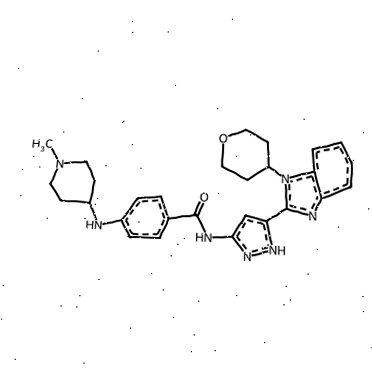 CN1CCC(Nc2ccc(C(=O)Nc3cc(-c4nc5ccccc5n4C4CCOCC4)[nH]n3)cc2)CC1